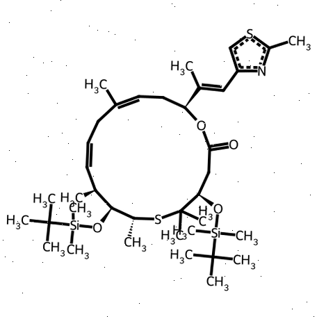 C/C1=C/C[C@@H](/C(C)=C/c2csc(C)n2)OC(=O)C[C@@H](O[Si](C)(C)C(C)(C)C)C(C)(C)S[C@H](C)[C@@H](O[Si](C)(C)C(C)(C)C)[C@@H](C)/C=C\C1